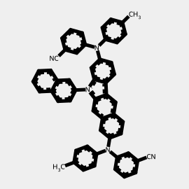 Cc1ccc(N(c2cccc(C#N)c2)c2ccc3cc4c5ccc(N(c6ccc(C)cc6)c6cccc(C#N)c6)cc5n(-c5ccc6ccccc6c5)c4cc3c2)cc1